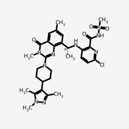 Cc1cc([C@@H](C)Nc2ccc(Cl)nc2C(=O)NS(C)(=O)=O)c2nc(N3CCC(c4c(C)nn(C)c4C)CC3)n(C)c(=O)c2c1